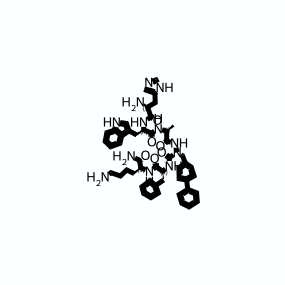 C[C@H](NC(=O)[C@@H](Cc1c[nH]c2ccccc12)NC(=O)[C@@H](N)Cc1cnc[nH]1)C(=O)NN(Cc1ccc(-c2ccccc2)cc1)C(=O)N[C@H](Cc1ccccc1)C(=O)N[C@@H](CCCCN)C(N)=O